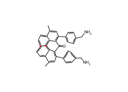 Cc1cc(-c2ccc(CN)cc2)c(C(=O)c2c(-c3ccc(CN)cc3)cc(C)c3ccccc23)c2ccccc12